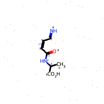 CC(NC(=O)/C=C\C=N)C(=O)O